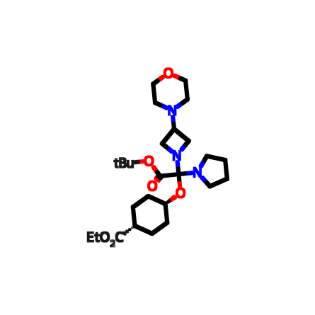 CCOC(=O)[C@H]1CC[C@H](OC(C(=O)OC(C)(C)C)(N2CCCC2)N2CC(N3CCOCC3)C2)CC1